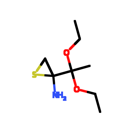 CCOC(C)(OCC)C1(N)CS1